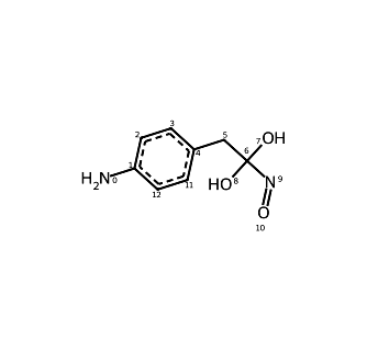 Nc1ccc(CC(O)(O)N=O)cc1